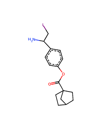 NC(CI)c1ccc(OC(=O)C23CCC(CC2)C3)cc1